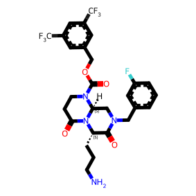 NCCC[C@H]1C(=O)N(Cc2cccc(F)c2)C[C@@H]2N(C(=O)OCc3cc(C(F)(F)F)cc(C(F)(F)F)c3)CCC(=O)N21